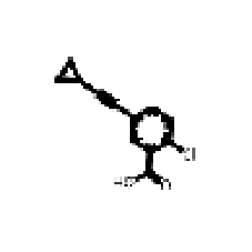 O=C(O)c1cc(C#CC2CC2)ccc1Cl